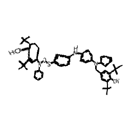 CC(C)(C)C1=CC(N(OSc2ccc(Nc3ccc(N(Cc4cc(C(C)(C)C)c(O)c(C(C)(C)C)c4)c4ccccc4)cc3)cc2)c2ccccc2)=CCC(C(C)(C)C)=C1O